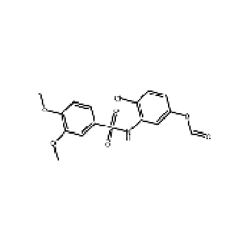 COc1ccc(S(=O)(=O)Nc2cc(OC=O)ccc2Cl)cc1OC